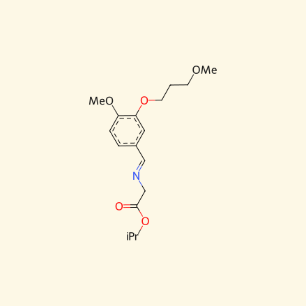 COCCCOc1cc(/C=N/CC(=O)OC(C)C)ccc1OC